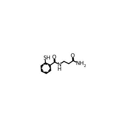 NC(=O)CCNC(=O)c1ccccc1S